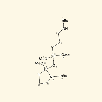 CCCCNCCC[Si](OC)(OC)O[Si]1(OC)CCCN1CCCC